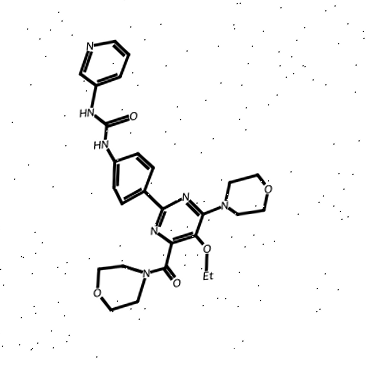 CCOc1c(C(=O)N2CCOCC2)nc(-c2ccc(NC(=O)Nc3cccnc3)cc2)nc1N1CCOCC1